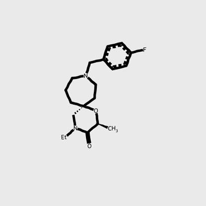 CCN1C[C@@]2(CCCN(Cc3ccc(F)cc3)CC2)O[C@@H](C)C1=O